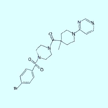 CC1(C(=O)N2CCN(S(=O)(=O)c3ccc(Br)cc3)CC2)CCN(c2ccncn2)CC1